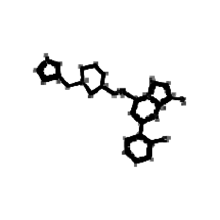 Clc1ccccc1-c1cc(NCC2CCCN(Cc3ccsc3)C2)n2ncc(Br)c2n1